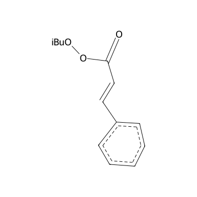 CC(C)COOC(=O)C=Cc1ccccc1